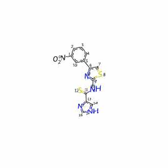 O=[N+]([O-])c1cccc(-c2csc(NC(=S)c3c[nH]cn3)n2)c1